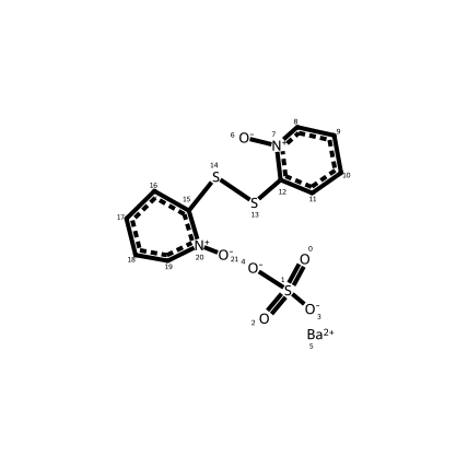 O=S(=O)([O-])[O-].[Ba+2].[O-][n+]1ccccc1SSc1cccc[n+]1[O-]